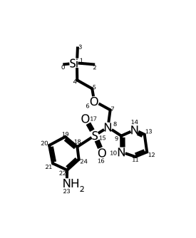 C[Si](C)(C)CCOCN(c1ncccn1)S(=O)(=O)c1cccc(N)c1